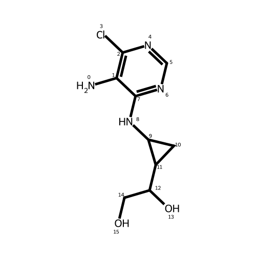 Nc1c(Cl)ncnc1NC1CC1C(O)CO